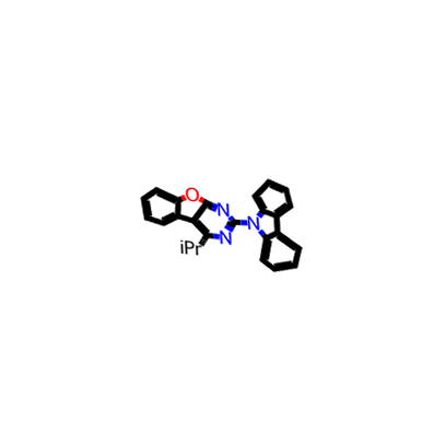 CC(C)c1nc(-n2c3ccccc3c3ccccc32)nc2oc3ccccc3c12